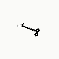 O=C(O)CCCCCCCCCCCc1ccccc1-c1ccccc1